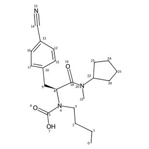 CCCCN(C(=O)O)[C@@H](Cc1ccc(C#N)cc1)C(=O)N(C)C1CCCC1